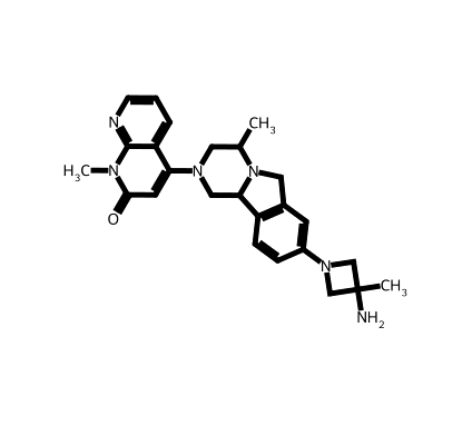 CC1CN(c2cc(=O)n(C)c3ncccc23)CC2c3ccc(N4CC(C)(N)C4)cc3CN12